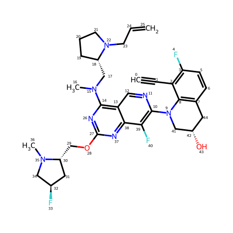 C#Cc1c(F)ccc2c1N(c1ncc3c(N(C)C[C@@H]4CCCN4CC=C)nc(OC[C@@H]4C[C@@H](F)CN4C)nc3c1F)C[C@@H](O)C2